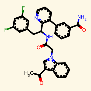 CC(=O)c1cn(CC(=O)NC(Cc2cc(F)cc(F)c2)c2ncccc2-c2cccc(C(N)=O)c2)c2ccccc12